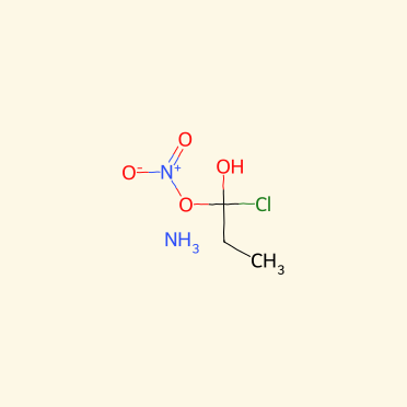 CCC(O)(Cl)O[N+](=O)[O-].N